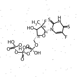 C[C@@]1(F)C(O)[C@@H](COP(=O)(O)OP(=O)(O)OP(=O)(O)O)O[C@H]1n1cc(F)c(=S)[nH]c1=S